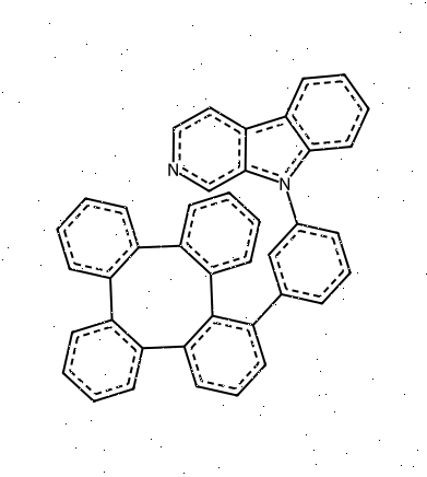 c1cc(-c2cccc3c2-c2ccccc2-c2ccccc2-c2ccccc2-3)cc(-n2c3ccccc3c3ccncc32)c1